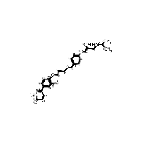 CC(C)NCC(O)COc1ccc(COCCCOc2ccc(C3=NNC(=O)CC3)cc2Cl)cc1